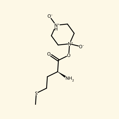 CSCC[C@H](N)C(=O)O[N+]1([O-])CC[NH+]([O-])CC1